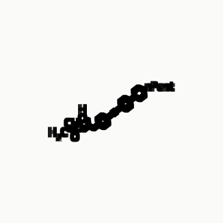 C=C(C)C(=O)OCC(CO)Cc1ccc(C#Cc2ccc(C3CCC(CCCCC)CC3)cc2)cc1